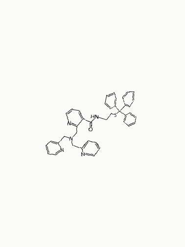 O=C(NCCSC(c1ccccc1)(c1ccccc1)c1ccccc1)c1cccnc1CN(Cc1ccccn1)Cc1ccccn1